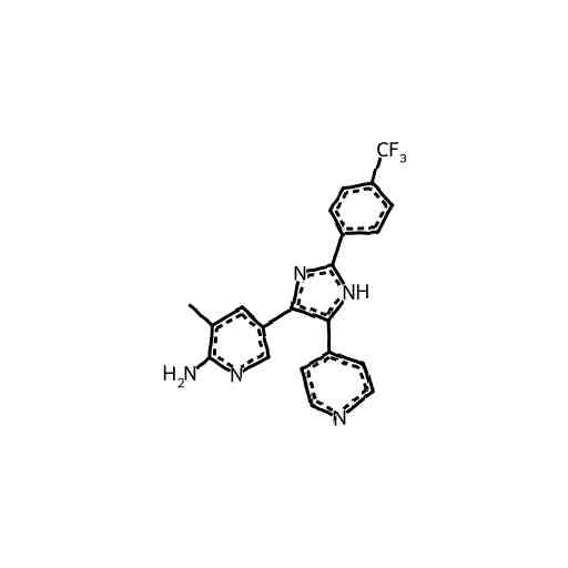 Cc1cc(-c2nc(-c3ccc(C(F)(F)F)cc3)[nH]c2-c2ccncc2)cnc1N